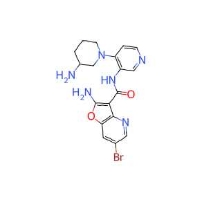 Nc1oc2cc(Br)cnc2c1C(=O)Nc1cnccc1N1CCCC(N)C1